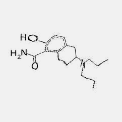 CCCN(CCC)C1CCc2c(ccc(O)c2C(N)=O)C1